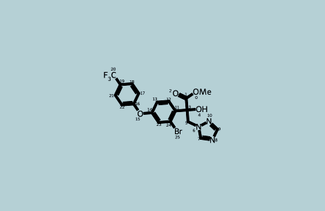 COC(=O)C(O)(Cn1cncn1)c1ccc(Oc2ccc(C(F)(F)F)cc2)cc1Br